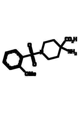 COc1ccccc1S(=O)(=O)N1CCC(N)(C(=O)O)CC1